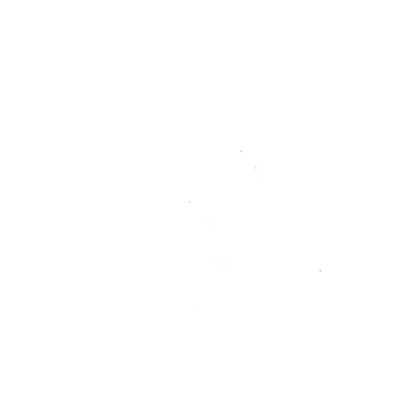 CC(C)(C)Cc1ccc(OC(SC(C)(C)C)c2ccccc2CC(C)(C)C)cc1CCSC(C)(C)C